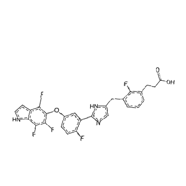 O=C(O)CCc1cccc(Cc2cnc(-c3cc(Oc4c(F)c(F)c5[nH]ccc5c4F)ccc3F)[nH]2)c1F